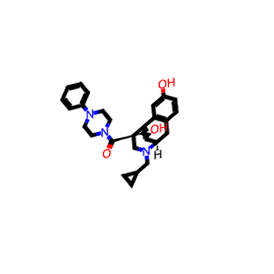 O=C([C@H]1C[C@]23CCN(CC4CC4)[C@H](Cc4ccc(O)cc42)[C@]3(O)C1)N1CCN(c2ccccc2)CC1